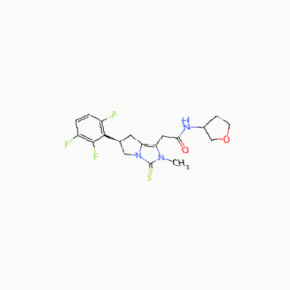 Cn1c(CC(=O)NC2CCOC2)c2n(c1=S)C[C@@H](c1c(F)ccc(F)c1F)C2